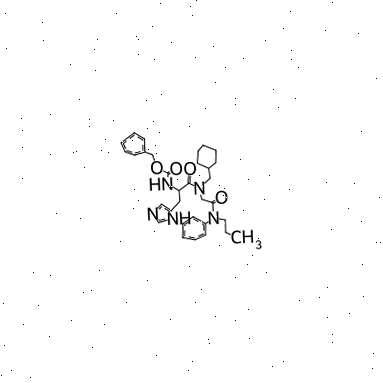 CCCN(C(=O)CN(CC1CCCCC1)C(=O)C(Cc1cnc[nH]1)NC(=O)OCc1ccccc1)c1ccccc1